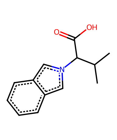 CC(C)C(C(=O)O)n1cc2ccccc2c1